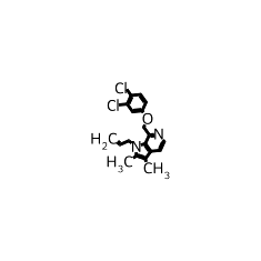 C=CCn1c(C)c(C)c2ccnc(COc3ccc(Cl)c(Cl)c3)c21